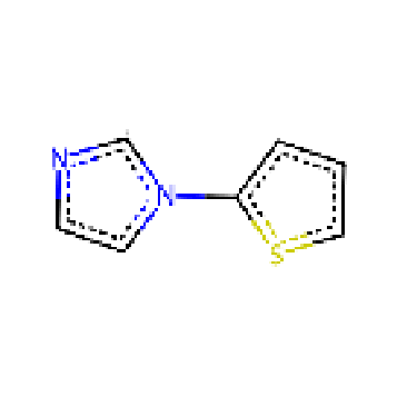 [c]1nccn1-c1cccs1